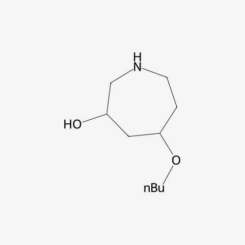 CCCCOC1CCNCC(O)C1